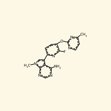 Cc1ccnc(Oc2ccc(-c3cn(C)c4ncnc(N)c34)nc2F)n1